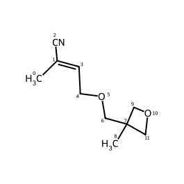 C/C(C#N)=C\COCC1(C)COC1